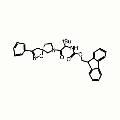 CC(C)(C)C(NC(=O)OCC1c2ccccc2-c2ccccc21)C(=O)N1CC[C@]2(CC(c3ccccc3)=NO2)C1